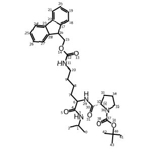 CC(C)NC(=O)C(CCCCNC(=O)OCC1c2ccccc2-c2ccccc21)NC(=O)[C@@H]1CCCN1C(=O)OC(C)(C)C